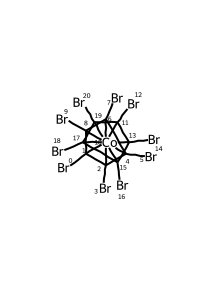 Br[C]12[C]3(Br)[C]4(Br)[C]5(Br)[C]1(Br)[Co]23451678[C]2(Br)[C]1(Br)[C]6(Br)[C]7(Br)[C]28Br